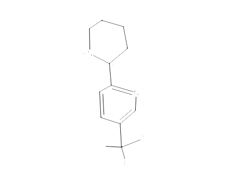 FC(F)(F)c1ccc(C2CCCCN2)nc1